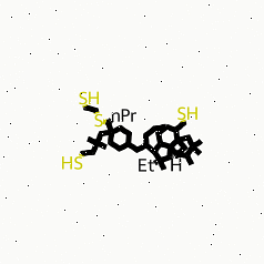 CCCC(SCCS)C1(CC(C)(C)CCS)CCC(CC2CCC3CC4C2C(C)(CC)CC42[C@@H]4CC2(CC(C)(C)C4C)C3CS)CC1